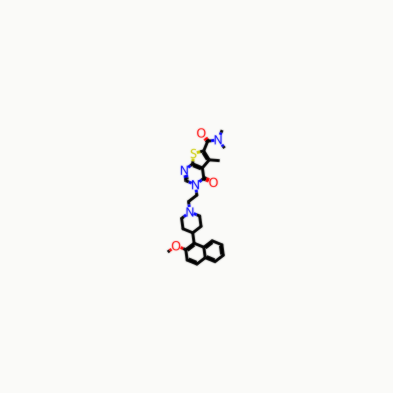 COc1ccc2ccccc2c1C1CCN(CCn2cnc3sc(C(=O)N(C)C)c(C)c3c2=O)CC1